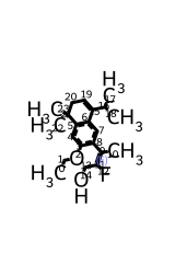 CCOc1cc2c(cc1/C(C)=C(/F)CO)C(C(C)C)=CCC2(C)C